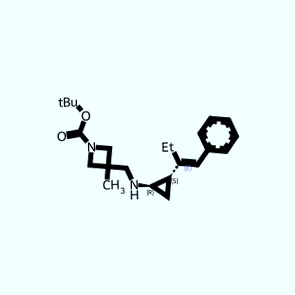 CC/C(=C\c1ccccc1)[C@@H]1C[C@H]1NCC1(C)CN(C(=O)OC(C)(C)C)C1